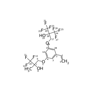 C=Cc1cc(OCC(C)(O)C(F)(F)F)cc(OCC(O)(C(F)(F)F)C(F)(F)F)c1